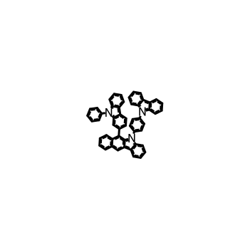 c1ccc(-n2c3ccccc3c3ccc(-c4c5ccccc5cc5c6ccccc6n(-c6ccc(-n7c8ccccc8c8ccccc87)cc6)c45)cc32)cc1